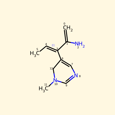 C=C(N)/C(=C/C)C1=CN=CN(C)C1